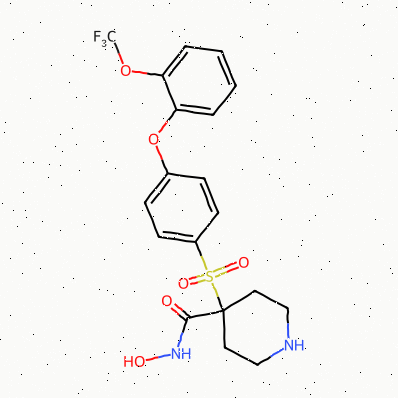 O=C(NO)C1(S(=O)(=O)c2ccc(Oc3ccccc3OC(F)(F)F)cc2)CCNCC1